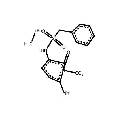 CC(C)(C)C.CCCc1ccc(NS(=O)(=O)Cc2ccccc2)c(=O)n1C(=O)O